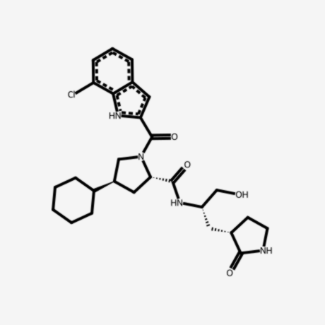 O=C1NCC[C@H]1C[C@@H](CO)NC(=O)[C@@H]1C[C@@H](C2CCCCC2)CN1C(=O)c1cc2cccc(Cl)c2[nH]1